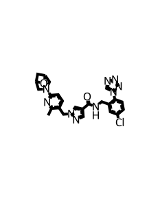 Cc1nc(N2CC3CC(C2)O3)ccc1Cn1cc(C(=O)NCc2cc(Cl)ccc2-n2cnnn2)cn1